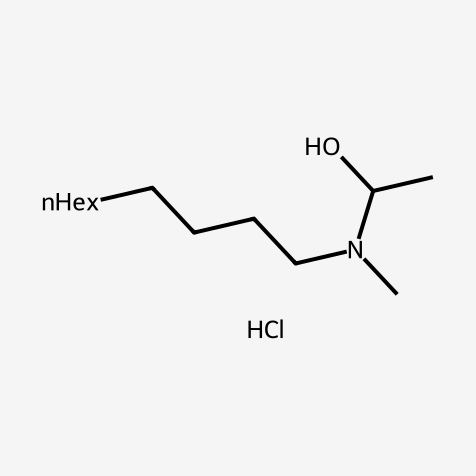 CCCCCCCCCCN(C)C(C)O.Cl